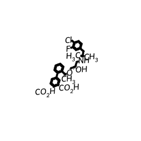 C[C@@H](OC[C@H](O)CNC(C)(C)Cc1ccc(Cl)c(F)c1)c1ccccc1-c1ccc(C(=O)O)c(C(=O)O)c1